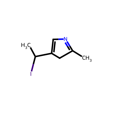 CC1=NC=C(C(C)I)C1